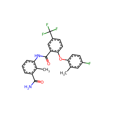 Cc1cc(F)ccc1Oc1ccc(C(F)(F)F)cc1C(=O)Nc1cccc(C(N)=O)c1C